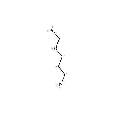 CCCCOCCC[NH]